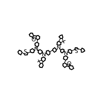 CC1(C)c2ccccc2-c2ccc(N(c3ccc(-c4ccc(N(c5ccc(N(c6ccc(-c7ccc(-c8ccccc8)s7)cc6)c6ccc(-c7cccc8c7oc7ccccc78)cc6)cc5)c5ccc6c(c5)C(C)(C)c5ccccc5-6)cc4)cc3)c3ccc(N(c4ccc(-c5ccc(-c6ccccc6)s5)cc4)c4ccc(-c5cccc6c5oc5ccccc56)cc4)cc3)cc21